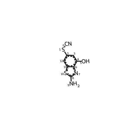 N#CSc1cc(O)c2nc(N)sc2c1